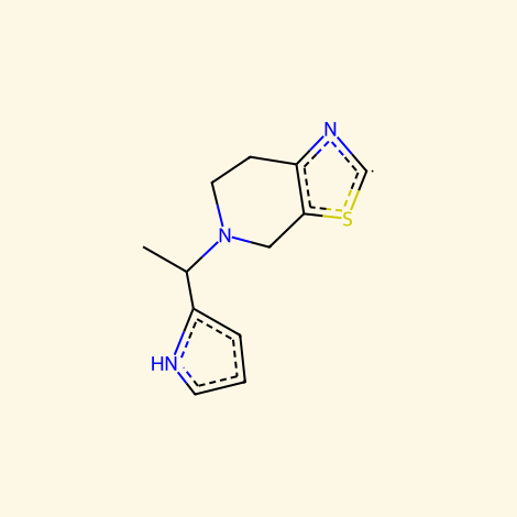 CC(c1ccc[nH]1)N1CCc2n[c]sc2C1